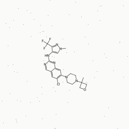 Cn1cc(Nc2ncc3cc(Cl)c(N4CCN(C5(C)COC5)CC4)cc3n2)c(C(F)(F)F)n1